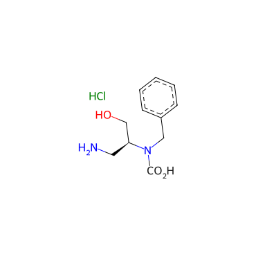 Cl.NC[C@@H](CO)N(Cc1ccccc1)C(=O)O